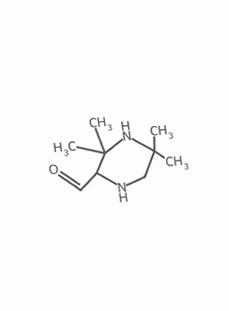 CC1(C)CNC(C=O)C(C)(C)N1